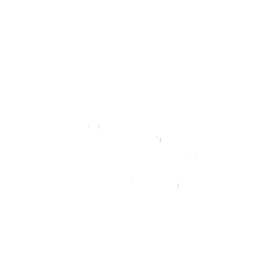 CCCN(CC(=O)C(C)C)C(C)(C)C